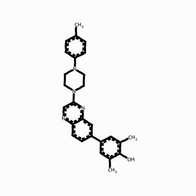 Cc1ccc(N2CCN(c3cnc4ccc(-c5cc(C)c(O)c(C)c5)cc4n3)CC2)cc1